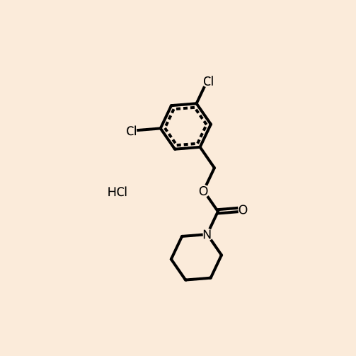 Cl.O=C(OCc1cc(Cl)cc(Cl)c1)N1CCCCC1